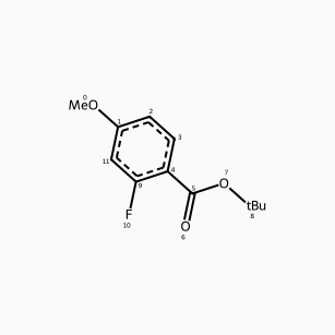 COc1ccc(C(=O)OC(C)(C)C)c(F)c1